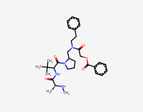 CN[C@@H](C)C(=O)NC(C(=O)N1CCCC1CN(CCc1ccccc1)C(=O)COC(=O)c1ccccc1)C(C)(C)C